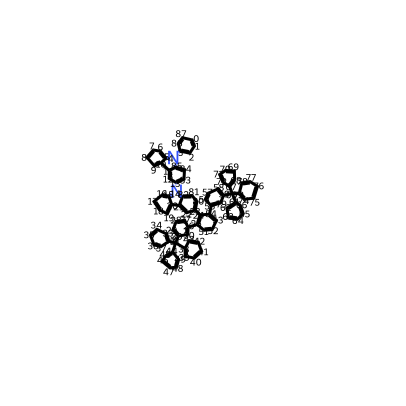 c1ccc(-n2c3ccccc3c3cc(-n4c5ccccc5c5cc(-c6c(-c7cccc(C(c8ccccc8)(c8ccccc8)c8ccccc8)c7)cccc6-c6cccc(C(c7ccccc7)(c7ccccc7)c7ccccc7)c6)ccc54)ccc32)cc1